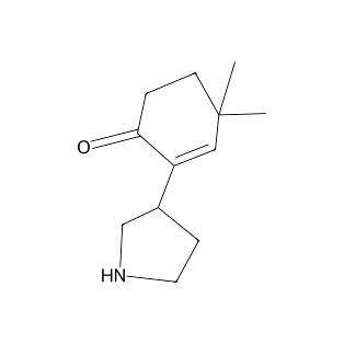 CC1(C)C=C(C2CCNC2)C(=O)CC1